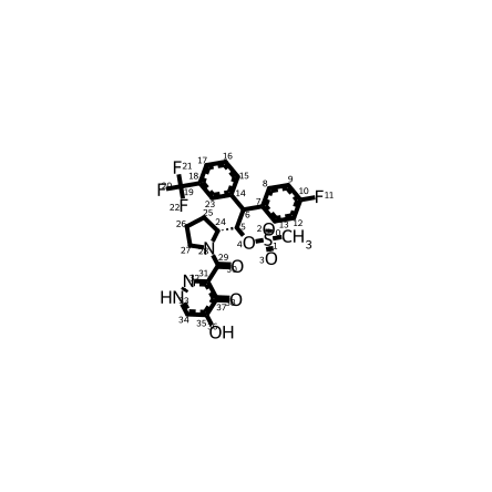 CS(=O)(=O)OC(C(c1ccc(F)cc1)c1cccc(C(F)(F)F)c1)[C@H]1CCCN1C(=O)c1n[nH]cc(O)c1=O